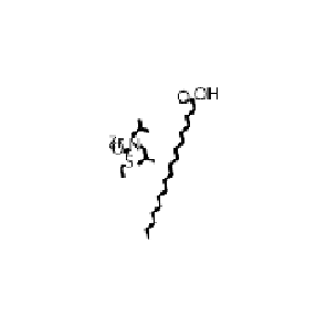 CCCCCCCCCCCCCCCCCC(=O)O.CCSC(=O)N(CC(C)C)CC(C)C.[Zr]